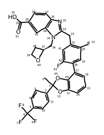 CC1(c2ccc(C(F)(F)F)cc2)Oc2cccc(-c3cc(F)c(Cc4nc5ccc(C(=O)O)cc5n4C[C@@H]4CCO4)cc3F)c2O1